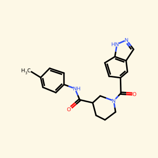 Cc1ccc(NC(=O)C2CCCN(C(=O)c3ccc4[nH]ncc4c3)C2)cc1